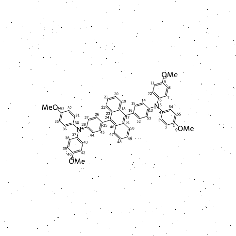 COc1ccc(N(c2ccc(OC)cc2)c2ccc(-c3c4ccccc4c(-c4ccc(N(c5ccc(OC)cc5)c5ccc(OC)cc5)cc4)c4ccccc34)cc2)cc1